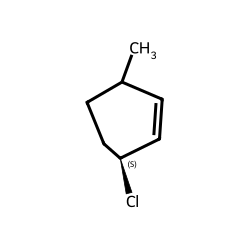 CC1C=C[C@@H](Cl)CC1